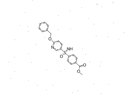 COC(=O)c1ccc(S(=N)(=O)c2ccc(OCc3ccccc3)nc2)cc1